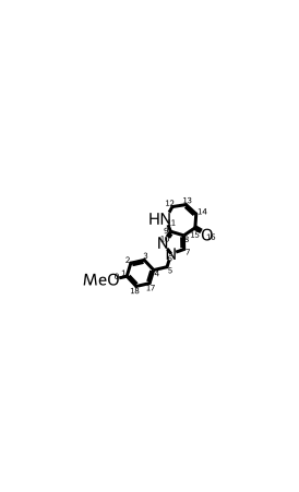 COc1ccc(Cn2cc3c(n2)NCC=CC3=O)cc1